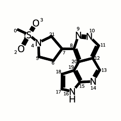 CS(=O)(=O)N1CCC(c2nncc3cnc4[nH]ccc4c23)C1